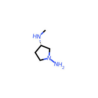 CN[C@H]1CCN(N)C1